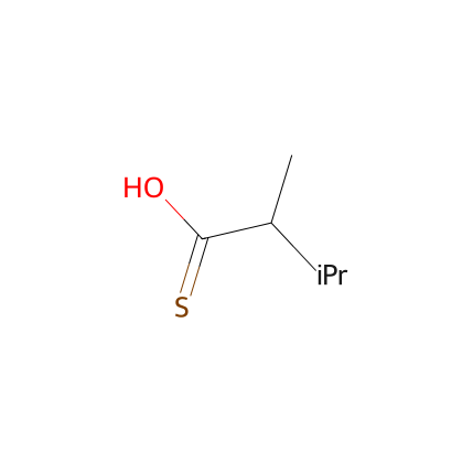 CC(C)C(C)C(O)=S